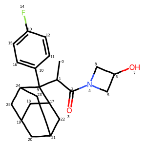 CC(C(=O)N1CC(O)C1)C1(c2ccc(F)cc2)C2CC3CC(C2)CC1C3